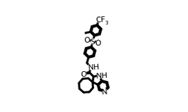 Cc1cc(C(F)(F)F)ccc1S(=O)(=O)c1ccc(CNC(=O)C2Nc3ccncc3C23CCCCCCC3)cc1